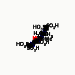 COc1cc(/N=N/c2c(S(=O)(=O)O)cc3cc(-n4nc5ccc6c(S(=O)(=O)O)cc(S(=O)(=O)O)cc6c5n4)ccc3c2O)c(O)cc1N=Nc1cc(C)c(/N=N/c2ccc3cc(S(=O)(=O)O)cc(S(=O)(=O)O)c3c2)cc1C